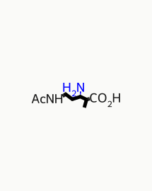 CC(=O)NCC[C@H](N)C(C)C(=O)O